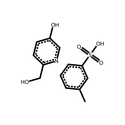 Cc1cccc(S(=O)(=O)O)c1.OCc1ccc(O)cn1